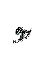 C=CC(=O)N1CCN(c2nc(OC[C@@H]3C[C@@H](F)CN3C)nc3c(F)c(-c4cccc5ccc(F)c(Cl)c45)c(Cl)cc23)C[C@@H]1CC#N